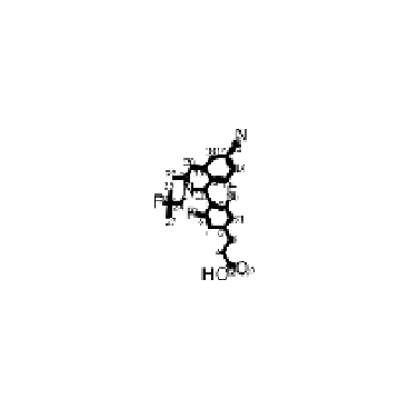 COC(O)CCC1C=C(F)C(C2C3=CC=C(C#N)CC3CC(C)N2CC(C)(C)F)=C(F)C1